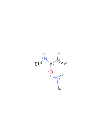 C=C(C)C(=O)NCC.CN(C)C